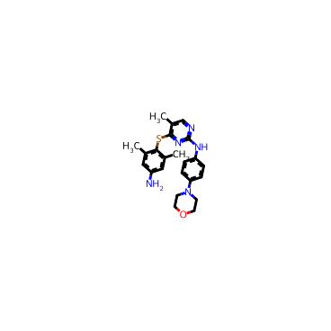 Cc1cnc(Nc2ccc(N3CCOCC3)cc2)nc1Sc1c(C)cc(N)cc1C